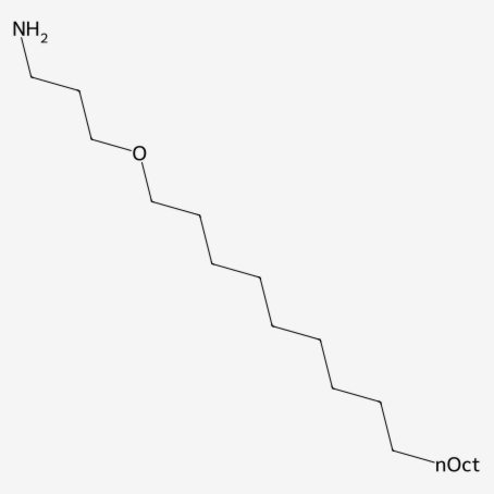 CCCCCCCCCCCCCCCCCOCCCN